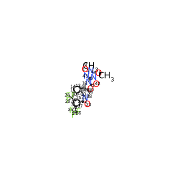 COc1nc(OC)nc(N2C[C@H](c3ccccc3)C3(CCN(C(=O)c4cc(C(F)(F)F)cc(C(F)(F)F)c4)CC3)OC2=O)n1